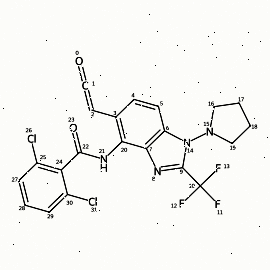 O=C=Cc1ccc2c(nc(C(F)(F)F)n2N2CCCC2)c1NC(=O)c1c(Cl)cccc1Cl